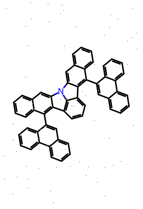 c1ccc2c(-c3cc4ccccc4c4ccccc34)c3c4cccc5c6c(-c7cc8ccccc8c8ccccc78)c7ccccc7cc6n(c3cc2c1)c45